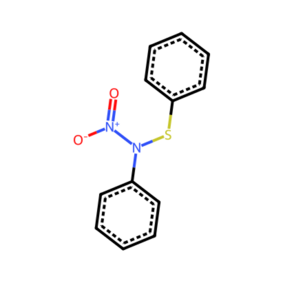 O=[N+]([O-])N(Sc1ccccc1)c1ccccc1